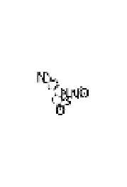 O=C1CCC(c2ccc3ccncc3c2)c2nc(N3CCOCC3)sc21